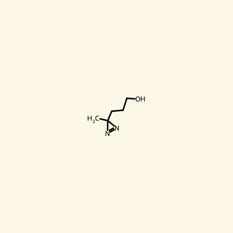 CC1(CCCO)N=N1